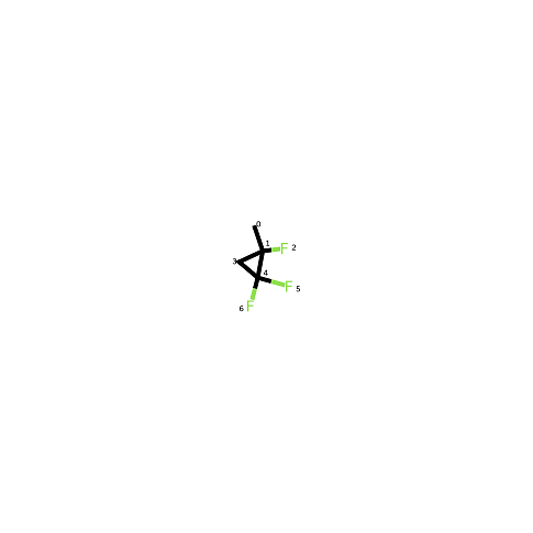 [CH2]C1(F)CC1(F)F